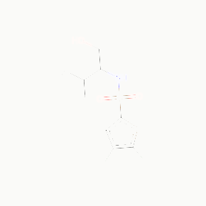 O=S(=O)(NC(CO)C(C(F)(F)F)C(F)(F)F)c1cc(F)c(Cl)s1